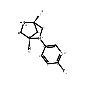 Fc1ccc(N2C[C@@H]3C[C@H]2CN3)cn1